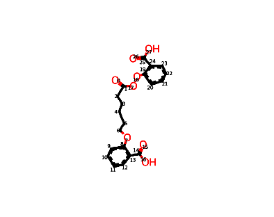 O=C(CCCCCOc1ccccc1C(=O)O)OOc1ccccc1C(=O)O